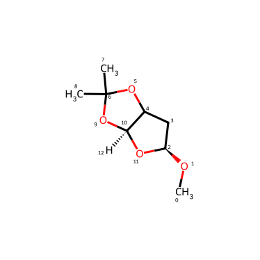 CO[C@@H]1CC2OC(C)(C)O[C@@H]2O1